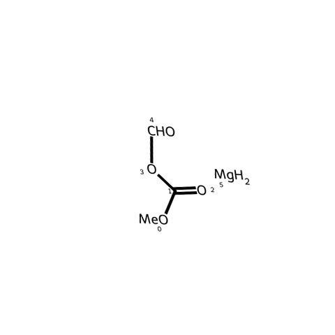 COC(=O)OC=O.[MgH2]